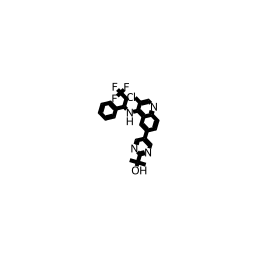 CC(C)(O)c1ncc(-c2ccc3ncc(Cl)c(NC(CC(F)(F)F)c4ccccc4)c3c2)cn1